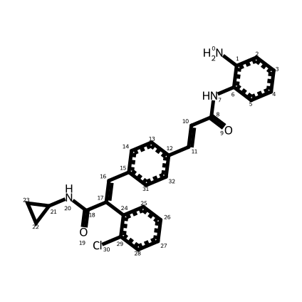 Nc1ccccc1NC(=O)/C=C/c1ccc(/C=C(/C(=O)NC2CC2)c2ccccc2Cl)cc1